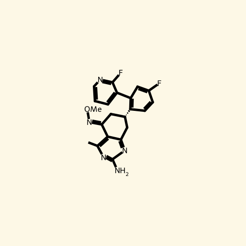 CON=C1C[C@H](c2ccc(F)cc2-c2cccnc2F)Cc2nc(N)nc(C)c21